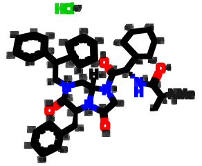 CN[C@@H](C)C(=O)N[C@H](C(=O)N1CC(=O)N2[C@@H]1CN(CC(c1ccccc1)c1ccccc1)C(=O)[C@@H]2Cc1ccccc1)C1CCCCC1.Cl